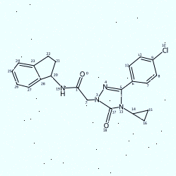 O=C(Cn1nc(-c2ccc(Cl)cc2)n(C2CC2)c1=O)NC1CCc2ccccc21